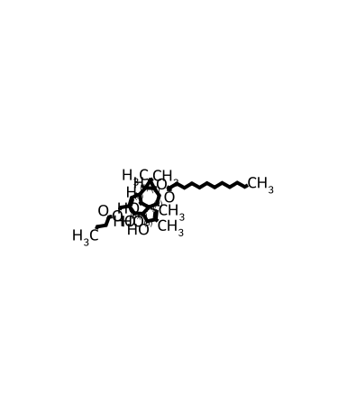 CCCCCCCCCCCC(=O)O[C@@]12C[C@@H](C)[C@]34C=C(C)[C@H](O)[C@@]3(O)[C@H](O)C(COC(=O)CCC)=C[C@H](C4O)[C@@H]1C2(C)C